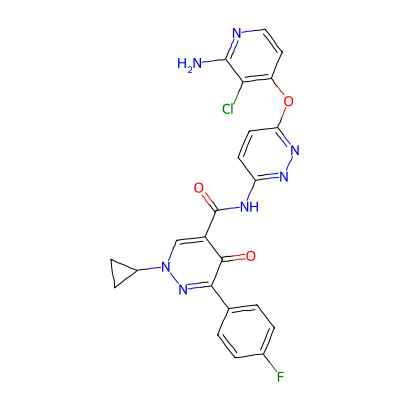 Nc1nccc(Oc2ccc(NC(=O)c3cn(C4CC4)nc(-c4ccc(F)cc4)c3=O)nn2)c1Cl